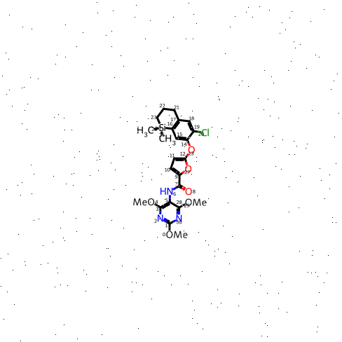 COc1nc(OC)c(NC(=O)c2ccc(Oc3cc4c(cc3Cl)CCC[Si]4(C)C)o2)c(OC)n1